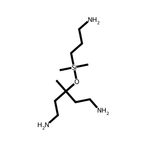 CC(CCN)(CCN)O[Si](C)(C)CCCN